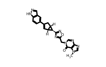 Cn1cnc2ncn(Cc3nc([C@H]4[C@@H]5C=C(c6ccc7[nH]ncc7c6)C[C@@H]54)no3)c(=O)c21